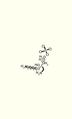 NCC(=O)O.O.O.O.O.O.O.O.[AlH3].[Cl][Zr]([Cl])([Cl])[Cl]